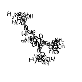 CCCC(=O)NC(CCC(=O)NCCOCCO[C@H]1O[C@H](CO)[C@@H](O)[C@H](OC(N)=O)[C@@H]1O)(CCC(=O)NCCOCCO[C@H]1O[C@H](CO)[C@@H](O)[C@H](OC(N)=O)[C@@H]1O)CCC(=O)NCCOCCO[C@H]1O[C@H](CO)[C@@H](O)[C@H](OC(N)=O)[C@@H]1O